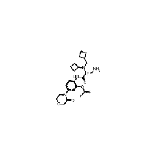 NC[C@H](C(=O)Nc1ccc(N2CCOCC2=O)cc1OC(F)F)N(CC1CCC1)C1CCC1